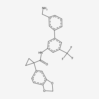 NCc1cccc(-c2cc(NC(=O)C3(c4ccc5c(c4)OCO5)CC3)cc(C(F)(F)F)c2)c1